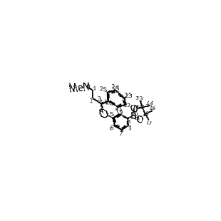 CNCCC(Oc1cccc(B2OC(C)(C)C(C)(C)O2)c1)c1ccccc1